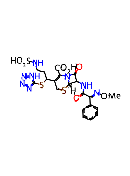 CON=C(C(=O)NC1C(=O)N2C(C(=O)O)=C(C(CCNS(=O)(=O)O)Sc3nnn[nH]3)CS[C@@H]12)c1ccccc1